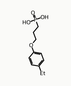 CCc1ccc(OCCCP(=O)(O)O)cc1